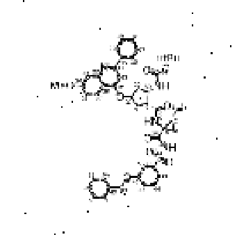 C=C[C@@H]1C[C@]1(NC(=O)[C@@H]1C[C@@H](Oc2cc(-c3ccccc3)nc3cc(OC)ccc23)C[C@@H]1NC(=O)OC(C)(C)C)C(=O)NS(=O)(=O)c1cccc(OCc2ccccc2)c1